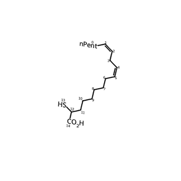 CCCCC/C=C\C/C=C\CCCCCCC(S)C(=O)O